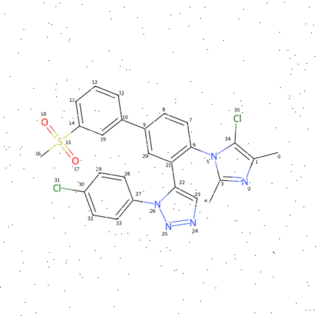 Cc1nc(C)n(-c2ccc(-c3cccc(S(C)(=O)=O)c3)cc2-c2cnnn2-c2ccc(Cl)cc2)c1Cl